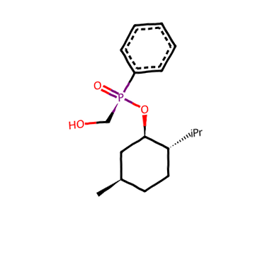 CC(C)[C@@H]1CC[C@@H](C)C[C@H]1O[P@@](=O)(CO)c1ccccc1